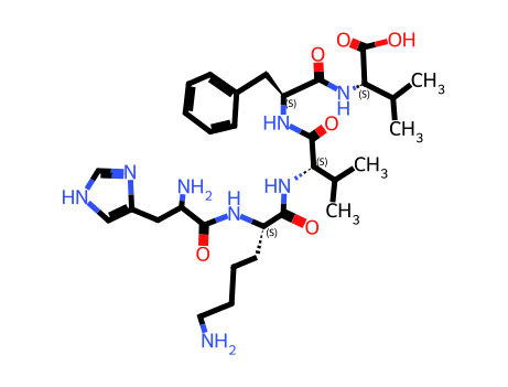 CC(C)[C@H](NC(=O)[C@H](Cc1ccccc1)NC(=O)[C@@H](NC(=O)[C@H](CCCCN)NC(=O)C(N)Cc1c[nH]cn1)C(C)C)C(=O)O